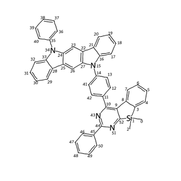 C[Si]1(C)c2ccccc2-c2c(-c3ccc(-n4c5ccccc5c5cc6c(cc54)c4ccccc4n6-c4ccccc4)cc3)nc(-c3ccccc3)nc21